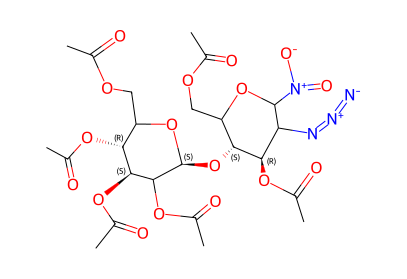 CC(=O)OCC1OC([N+](=O)[O-])C(N=[N+]=[N-])[C@@H](OC(C)=O)[C@@H]1O[C@@H]1OC(COC(C)=O)[C@@H](OC(C)=O)[C@H](OC(C)=O)C1OC(C)=O